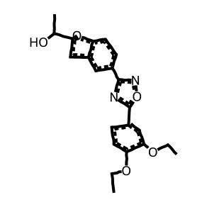 CCOc1ccc(-c2nc(-c3ccc4oc(C(C)O)cc4c3)no2)cc1OCC